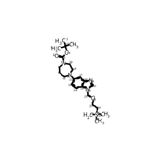 CC(C)(C)OC(=O)N1CCCN(c2ccc3c(c2)ncn3COCC[Si](C)(C)C)CC1